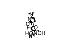 CN(C)c1ccn([C@@H]2O[C@@](CO)(N=[N+]=[N-])C(O)[C@@H]2F)c(=O)n1